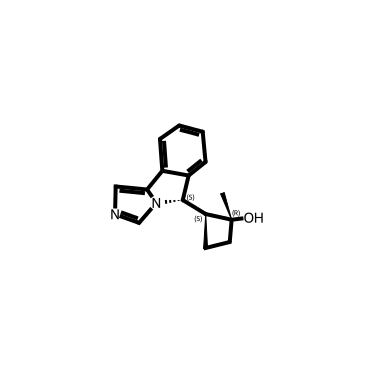 C[C@@]1(O)CC[C@H]1[C@H]1c2ccccc2-c2cncn21